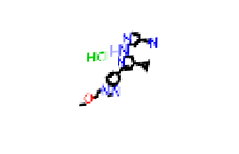 CCOCCn1cnc2cc(-c3cc(C4CC4)cc(Nc4cc(C#N)ccn4)n3)ccc21.Cl